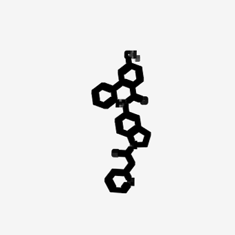 Cc1ccc(C(=O)Nc2ccc3c(c2)CCN3C(=O)Cc2ccccn2)c(-c2ccccc2)c1